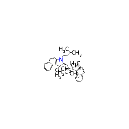 C=C(/C=C1/N(CCC(C)C)c2ccc3ccccc3c2C1(C)C)C(C)(C)c1c(C)ccc2ccccc12